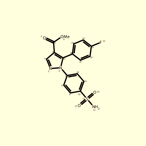 COC(=O)c1[c]nn(-c2ccc(S(N)(=O)=O)cc2)c1-c1ccc(F)cc1